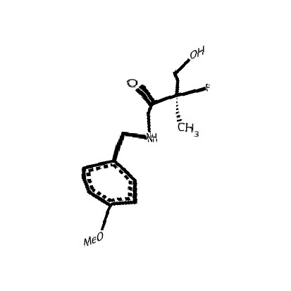 COc1ccc(CNC(=O)[C@](C)(F)CO)cc1